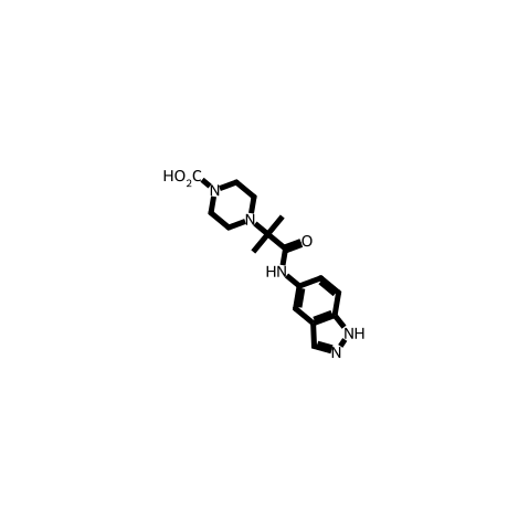 CC(C)(C(=O)Nc1ccc2[nH]ncc2c1)N1CCN(C(=O)O)CC1